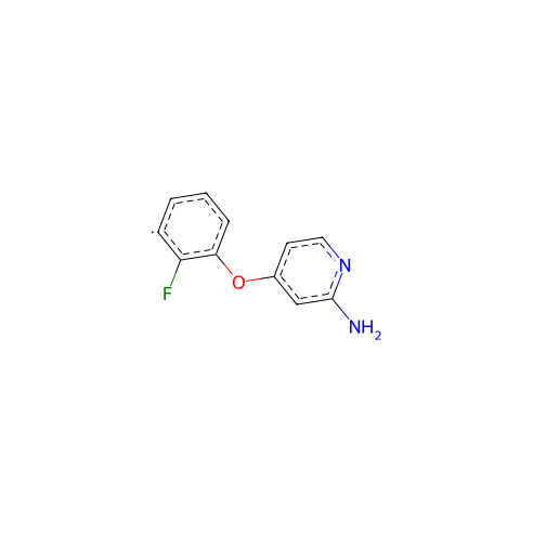 Nc1cc(Oc2ccc[c]c2F)ccn1